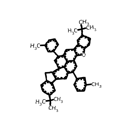 Cc1cccc(-c2cc3c4oc5ccc(C(C)(C)C)cc5c4cc4c(-c5cccc(C)c5)cc5c6c(cc2c5c43)-c2cc(C(C)(C)C)ccc2C6)c1